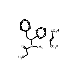 CN(C(=O)CN)C(Cc1ccccc1)c1ccccc1.O=C(O)C=CC(=O)O